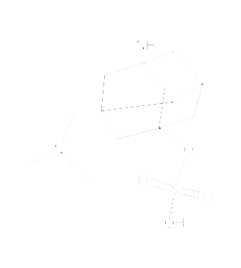 CN(C)C.N.O=S(=O)(O)OC12CC3CC(CC(C3)C1)C2